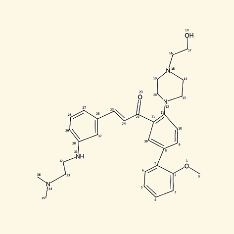 COc1ccccc1-c1ccc(N2CCN(CCO)CC2)c(C(=O)/C=C/c2cccc(NCCN(C)C)c2)c1